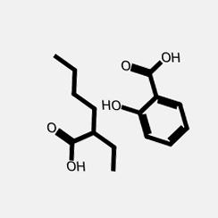 CCCCC(CC)C(=O)O.O=C(O)c1ccccc1O